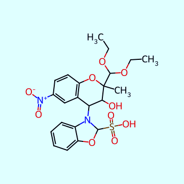 CCOC(OCC)C1(C)Oc2ccc([N+](=O)[O-])cc2C(N2c3ccccc3OC2S(=O)(=O)O)C1O